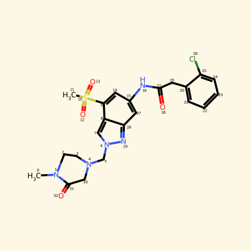 CN1CCN(Cn2cc3c(S(C)(=O)=O)cc(NC(=O)Cc4ccccc4Cl)cc3n2)CC1=O